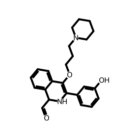 O=CC1NC(c2cccc(O)c2)=C(OCCCN2CCCCC2)c2ccccc21